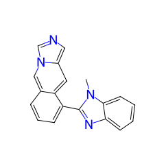 Cn1c(-c2cccc3cn4cncc4cc23)nc2ccccc21